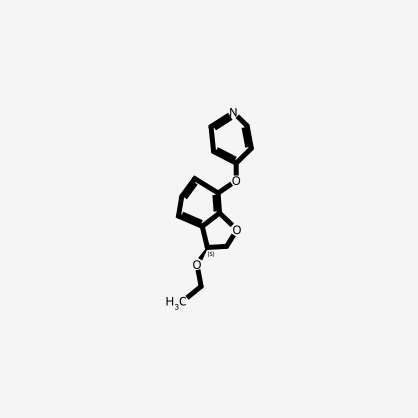 CCO[C@@H]1COc2c(Oc3ccncc3)cccc21